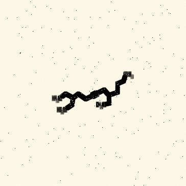 CCCCC(CC)CC#CCCC(CC)CC